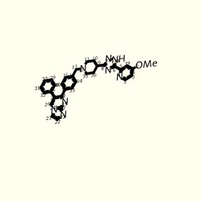 COc1ccnc(-c2nc(C3CCN(Cc4ccc(-c5nc6nccn6cc5-c5ccccc5)cc4)CC3)n[nH]2)c1